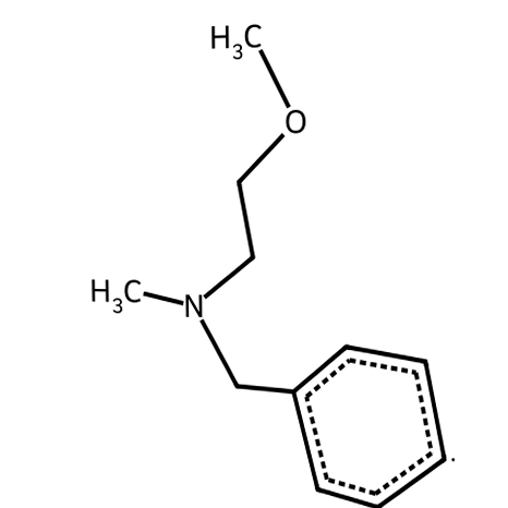 COCCN(C)Cc1cc[c]cc1